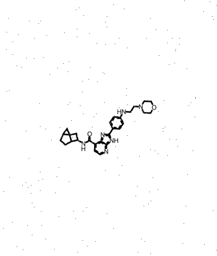 O=C(NC1CC23CC2CCC13)c1ccnc2[nH]c(-c3ccc(NCCN4CCOCC4)cc3)nc12